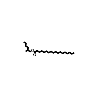 CCCCCCCCCCCCCCCCCC(=O)OCC(C)CCCC